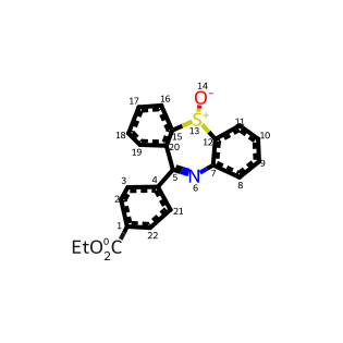 CCOC(=O)c1ccc(C2=Nc3ccccc3[S+]([O-])c3ccccc32)cc1